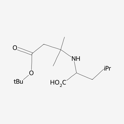 CC(C)CC(NC(C)(C)CC(=O)OC(C)(C)C)C(=O)O